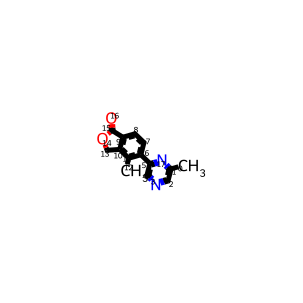 Cc1cncc(-c2ccc3c(c2C)COC3=O)n1